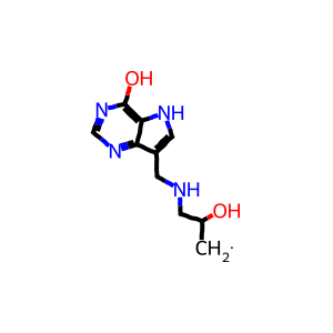 [CH2]C(O)CNCc1c[nH]c2c(O)ncnc12